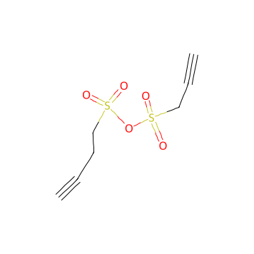 C#CCCS(=O)(=O)OS(=O)(=O)CC#C